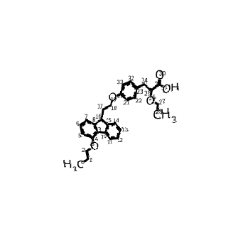 CCCOc1cccc2c1-c1ccccc1C2CCOc1ccc(CC(OCC)C(=O)O)cc1